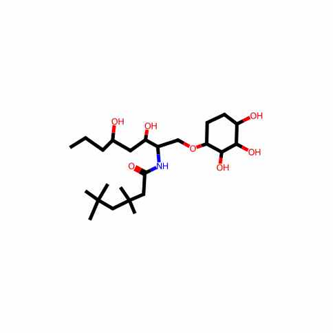 CCCC(O)CC(O)C(COC1CCC(O)C(O)C1O)NC(=O)CC(C)(C)CC(C)(C)C